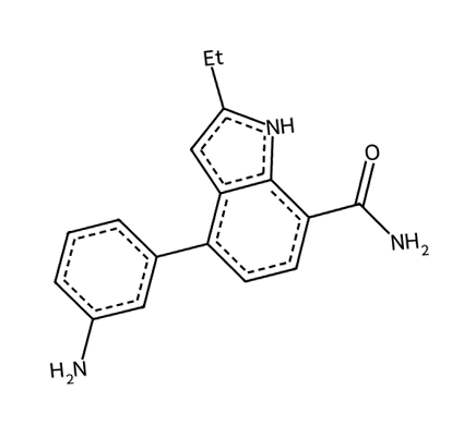 CCc1cc2c(-c3cccc(N)c3)ccc(C(N)=O)c2[nH]1